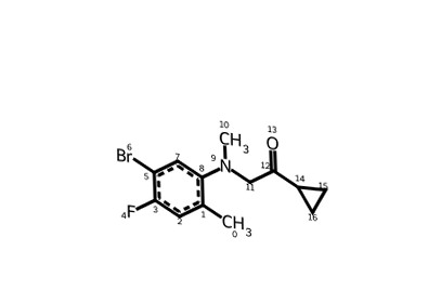 Cc1cc(F)c(Br)cc1N(C)CC(=O)C1CC1